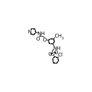 Cc1cc(NCS(=O)(=O)c2ccccc2Cl)cc(OCC(=O)Nc2ccncc2)c1